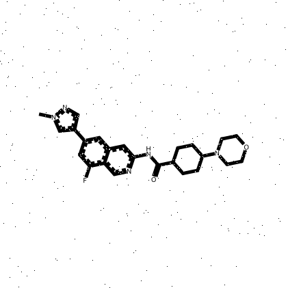 Cn1cc(-c2cc(F)c3cnc(NC(=O)C4CCC(N5CCOCC5)CC4)cc3c2)cn1